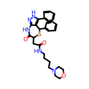 O=C(CC1SC(c2ccccc2)c2c(n[nH]c2-c2ccccc2)NC1=O)NCCCCN1CCOCC1